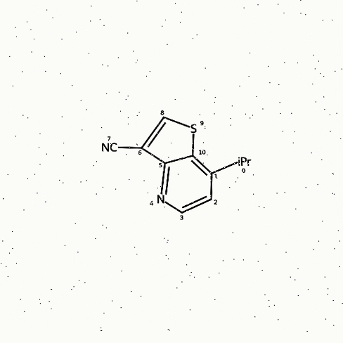 CC(C)c1ccnc2c(C#N)csc12